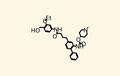 CCOc1cc(NC(=O)CCCc2ccc(-c3ccccc3)c(NC(=O)OC3CCN(C)CC3)c2)ccc1CO